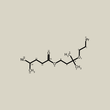 CC(C)CCOC(C)(C)CCOC(=O)CCC(C)C#N